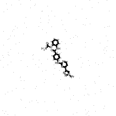 CC(C)n1cc(-c2ccnc(Nc3ccc(C(=O)Nc4ccccc4OC(N)=O)cc3)n2)nn1